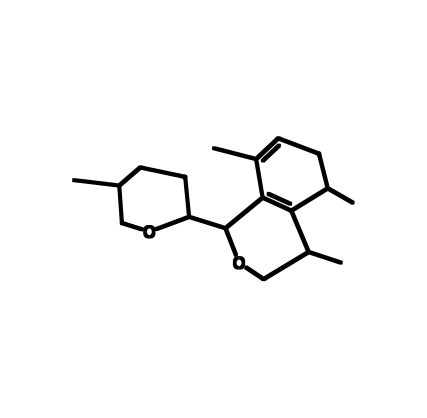 CC1=CCC(C)C2=C1C(C1CCC(C)CO1)OCC2C